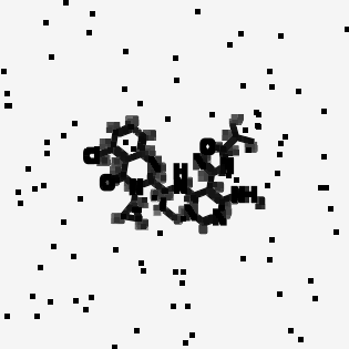 CC[C@H](Nc1ncnc(N)c1-c1noc(C(C)C)n1)c1nc2cccc(Cl)c2c(=O)n1C1CC1